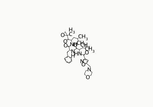 CC(C)CC(NC(=O)[C@H](Cc1ccccc1)NC(=O)C(NC(=O)c1cc(CN2CCOCC2)on1)C(C)C)C(=O)C1(C)CO1